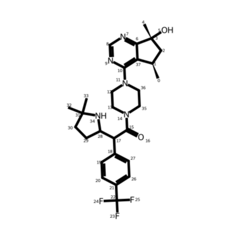 C[C@@H]1C[C@@](C)(O)c2ncnc(N3CCN(C(=O)C(c4ccc(C(F)(F)F)cc4)C4CCC(C)(C)N4)CC3)c21